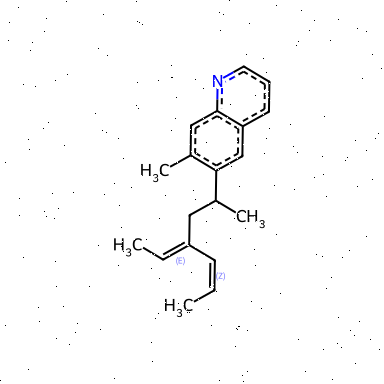 C/C=C\C(=C\C)CC(C)c1cc2cccnc2cc1C